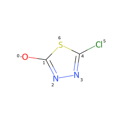 [O]c1nnc(Cl)s1